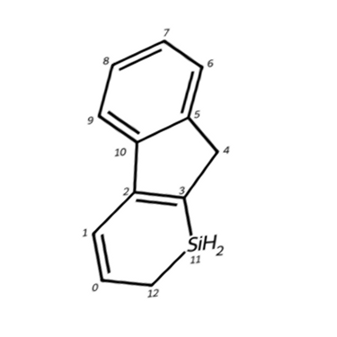 C1=CC2=C(Cc3ccccc32)[SiH2]C1